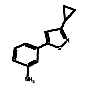 Nc1cccc(-c2cc(C3CC3)ns2)c1